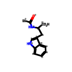 CCC(=O)NC(Cc1c[nH]c2ccccc12)C(=O)O